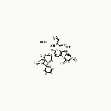 CCCN(Cc1c(OC(=O)OCC)[nH]c2cc(Cl)cc(Cl)c12)C1CCC(Cc2ccccc2)(N(C)C)CC1.Cl.Cl